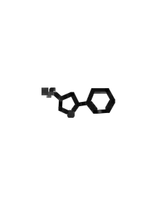 CC1COC(c2ccccc2)C1